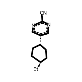 CC[C@H]1CC[C@H](c2cnc(C#N)nc2)CC1